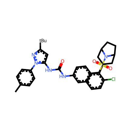 Cc1ccc(-n2nc(C(C)(C)C)cc2NC(=O)Nc2ccc(CC3CC4CCC(C3)N4S(=O)(=O)c3ccccc3Cl)cc2)cc1